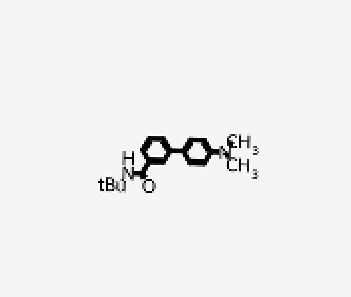 CN(C)c1ccc(-c2cccc(C(=O)NC(C)(C)C)c2)cc1